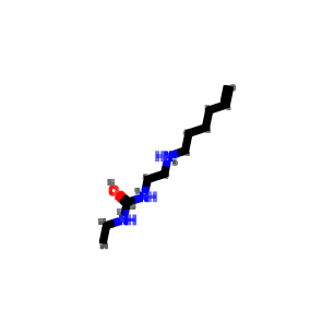 C=CCCCCNCCNC(=O)NCC